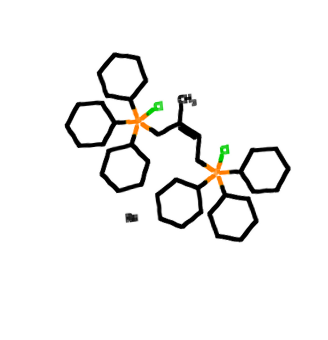 CC(=CCP(Cl)(C1CCCCC1)(C1CCCCC1)C1CCCCC1)CP(Cl)(C1CCCCC1)(C1CCCCC1)C1CCCCC1.[Ru]